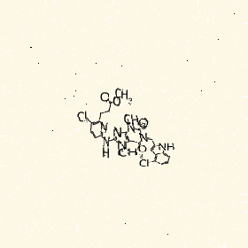 COC(=O)CCc1nc(Nc2nc3c(c(=O)n(Cc4cc5c(Cl)cccc5[nH]4)c(=O)n3C)n2C)ccc1Cl